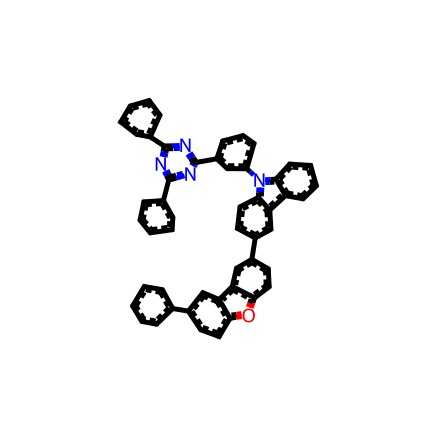 c1ccc(-c2ccc3oc4ccc(-c5ccc6c(c5)c5ccccc5n6-c5cccc(-c6nc(-c7ccccc7)nc(-c7ccccc7)n6)c5)cc4c3c2)cc1